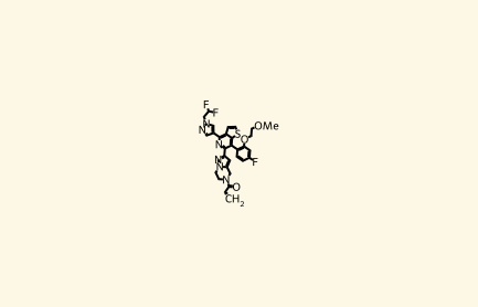 C=CC(=O)N1CCn2nc(-c3nc(-c4cnn(CC(F)F)c4)c4ccsc4c3-c3ccc(F)cc3OCCOC)cc2C1